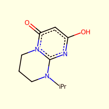 CC(C)N1CCCn2c1nc(O)cc2=O